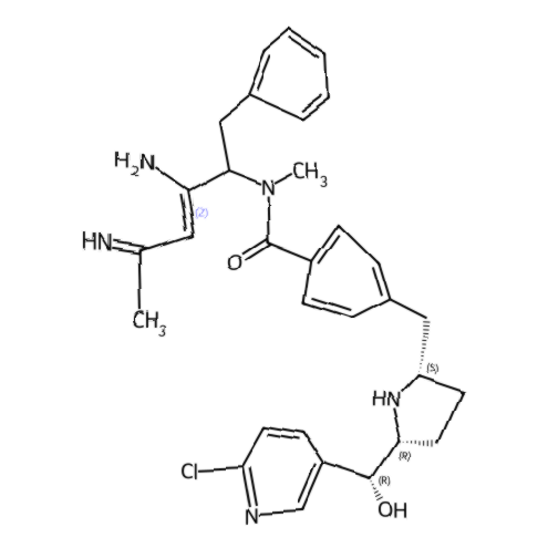 CC(=N)/C=C(\N)C(Cc1ccccc1)N(C)C(=O)c1ccc(C[C@@H]2CC[C@H]([C@H](O)c3ccc(Cl)nc3)N2)cc1